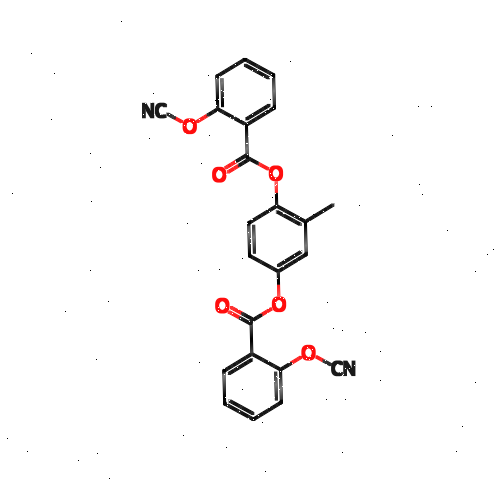 Cc1cc(OC(=O)c2ccccc2OC#N)ccc1OC(=O)c1ccccc1OC#N